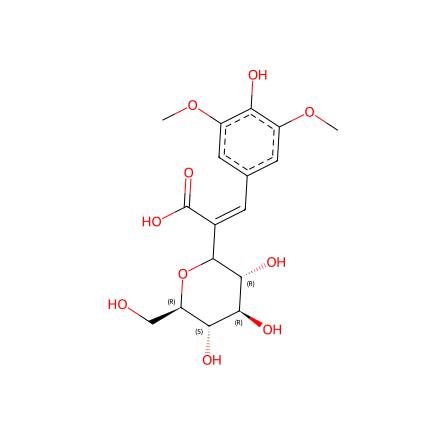 COc1cc(C=C(C(=O)O)C2O[C@H](CO)[C@@H](O)[C@H](O)[C@H]2O)cc(OC)c1O